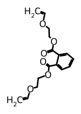 C=COCCOC(=O)c1ccccc1C(=O)OCCOC=C